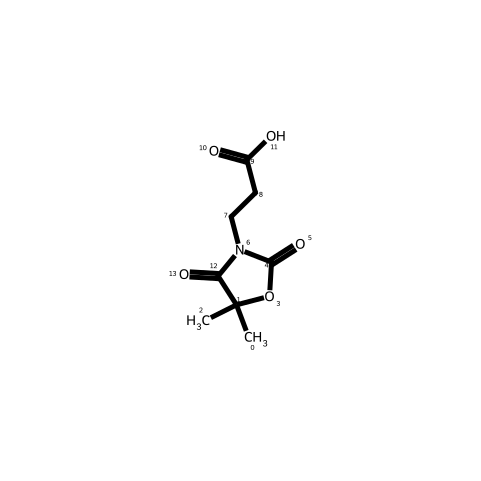 CC1(C)OC(=O)N(CCC(=O)O)C1=O